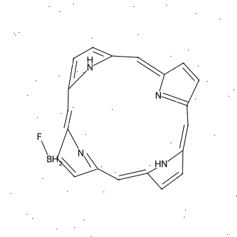 BF.C1=Cc2cc3ccc(cc4nc(cc5ccc(cc1n2)[nH]5)C=C4)[nH]3